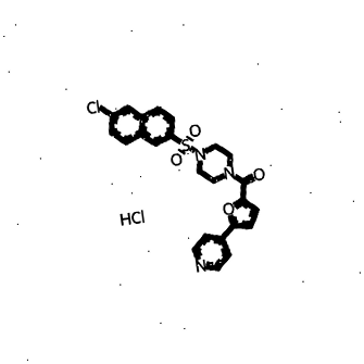 Cl.O=C(c1ccc(-c2ccncc2)o1)N1CCN(S(=O)(=O)c2ccc3cc(Cl)ccc3c2)CC1